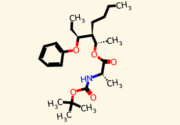 CCCC[C@@H]([C@H](C)OC(=O)[C@H](C)NC(=O)OC(C)(C)C)[C@H](CC)Oc1ccccc1